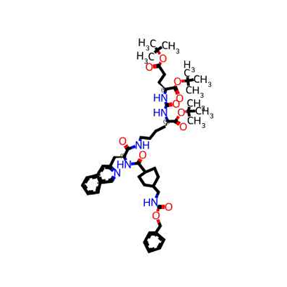 CC(C)(C)OC(=O)CC[C@H](NC(=O)N[C@@H](CCCCNC(=O)[C@H](Cc1cc2ccccc2cn1)NC(=O)C1CCC(CNC(=O)OCc2ccccc2)CC1)C(=O)OC(C)(C)C)C(=O)OC(C)(C)C